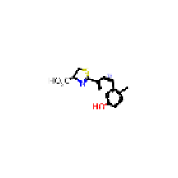 C=C(/C=C\c1cc(O)ccc1C)C1=NC(C(=O)O)CS1